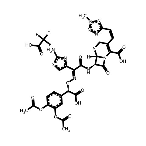 CC(=O)Oc1ccc([C@@H](ON=C(C(=O)N[C@@H]2C(=O)N3C(C(=O)O)=C(/C=C\c4nnn(C)n4)CS[C@@H]23)c2csc(N)n2)C(=O)O)cc1OC(C)=O.O=C(O)C(F)(F)F